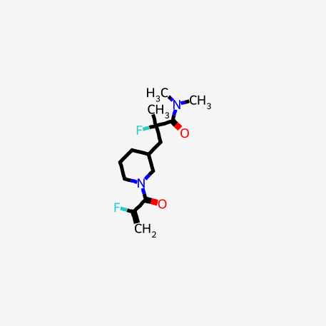 C=C(F)C(=O)N1CCCC(CC(C)(F)C(=O)N(C)C)C1